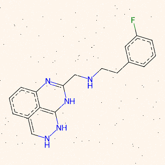 Fc1cccc(CCNCC2=Nc3cccc4c3=C(NNC=4)N2)c1